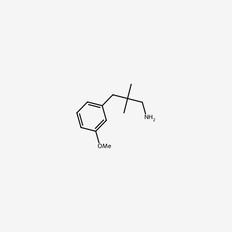 COc1cccc(CC(C)(C)CN)c1